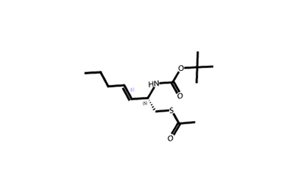 CCC/C=C/[C@@H](CSC(C)=O)NC(=O)OC(C)(C)C